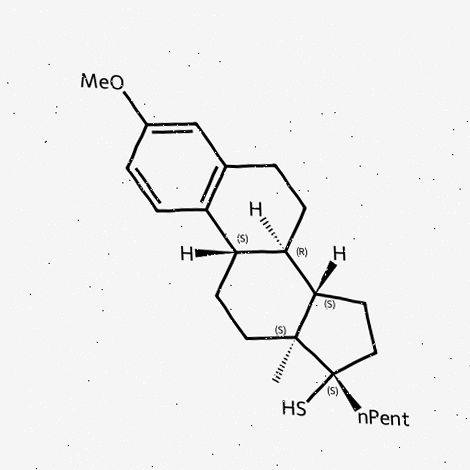 CCCCC[C@]1(S)CC[C@H]2[C@@H]3CCc4cc(OC)ccc4[C@H]3CC[C@@]21C